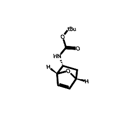 CC(C)(C)OC(=O)N[C@@H]1C[C@@H]2C=C[C@H]1O2